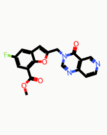 COC(=O)c1cc(F)cc2cc(Cn3cnc4ccncc4c3=O)oc12